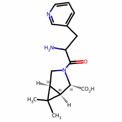 CC1(C)[C@@H]2[C@@H](C(=O)O)N(C(=O)C(N)Cc3cccnc3)C[C@@H]21